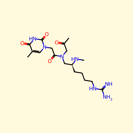 CN[C@@H](CCCCNC(=N)N)CN(CC(C)=O)C(=O)Cn1cc(C)c(=O)[nH]c1=O